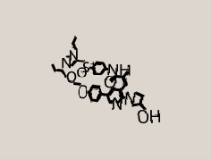 CCCCOCCOc1ccc(-c2cnc(N3CCC(CO)C3)c(C=C(C)C(=O)Nc3ccc([S@@+]([O-])Cc4cncn4CCC)cc3)c2)cc1